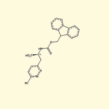 N#Cc1ccc(C[C@H](NC(=O)OCC2c3ccccc3-c3ccccc32)C(=O)O)nn1